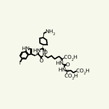 NC[C@H]1CC[C@H](C(=O)N[C@H](Cc2c[nH]c3ccc(I)cc23)C(=O)NCCCC[C@H](NC(=O)N[C@@H](CCC(=O)O)C(=O)O)C(=O)O)CC1